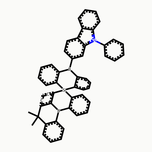 CC1(C)c2ccccc2B2c3ccccc3[Si]3(c4ccccc4B(c4ccc5c6ccccc6n(-c6ccccc6)c5c4)c4ccccc43)c3cccc1c32